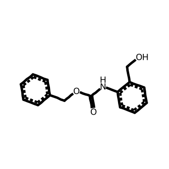 O=C(Nc1ccccc1CO)OCc1ccccc1